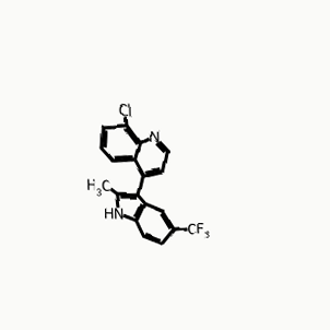 Cc1[nH]c2ccc(C(F)(F)F)cc2c1-c1ccnc2c(Cl)cccc12